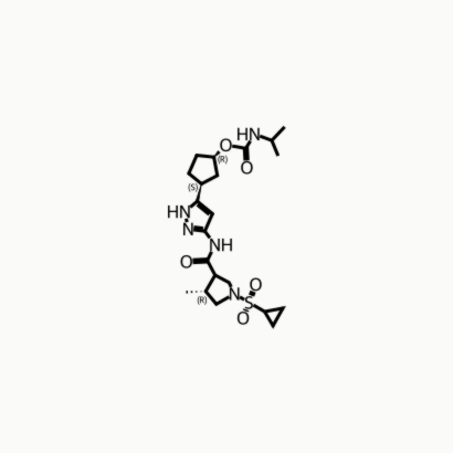 CC(C)NC(=O)O[C@@H]1CC[C@H](c2cc(NC(=O)C3CN(S(=O)(=O)C4CC4)C[C@@H]3C)n[nH]2)C1